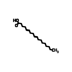 CCCCCCCCC=CCCC=CCCCC(=O)O